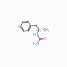 CC(C)COC(=O)N[C@@H](C)Cc1ccccc1